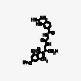 Cc1cc(OC(C)C)cc(C)c1C(=O)NC(CNC(=O)CNC(=O)c1cccc(NC(=N)N)c1)C(=O)O